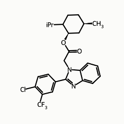 CC(C)C1CC[C@@H](C)C[C@H]1OC(=O)Cn1c(-c2ccc(Cl)c(C(F)(F)F)c2)nc2ccccc21